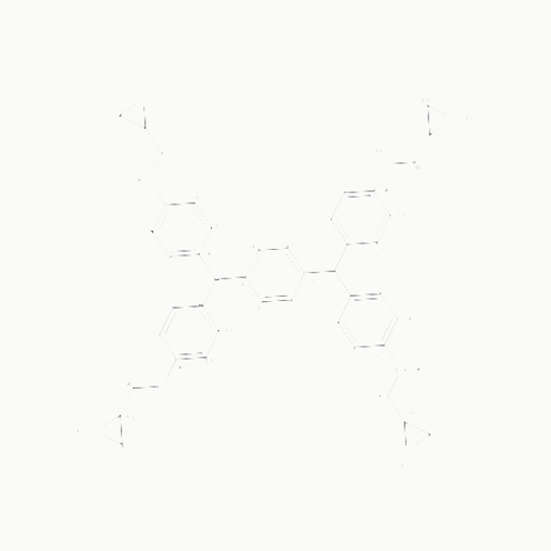 c1cc(C(c2ccc(OCC3CO3)cc2)c2ccc(C(c3ccc(OCC4CO4)cc3)c3ccc(OC[C@@H]4CO4)cc3)cc2)ccc1OCC1CO1